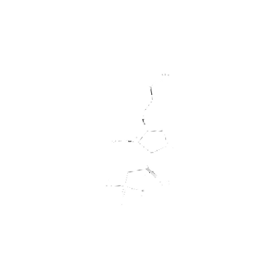 C=C(CP(=O)(O)O)[C@H]1O[C@@H](C)[C@H](OCCOC)[C@@H]1OC